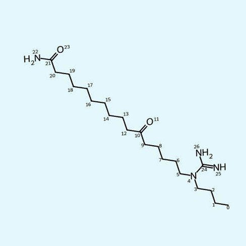 CCCCN(CCCCCC(=O)CCCCCCCCCC(N)=O)C(=N)N